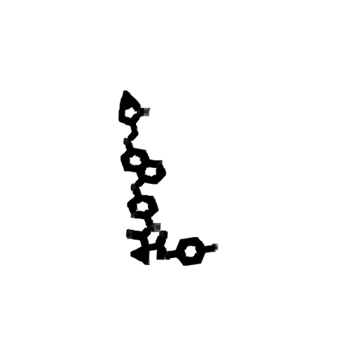 O=C(Nc1ccc(F)cc1)C1(C(=O)Nc2ccc(Oc3ccnc4cc(OC[C@H]5CC6CC6N5)ccc34)cn2)CC1